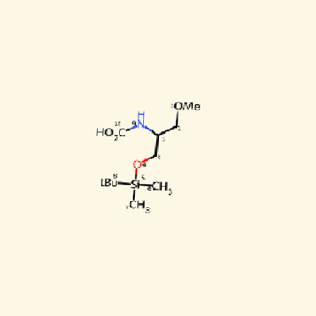 COCC(CO[Si](C)(C)C(C)(C)C)NC(=O)O